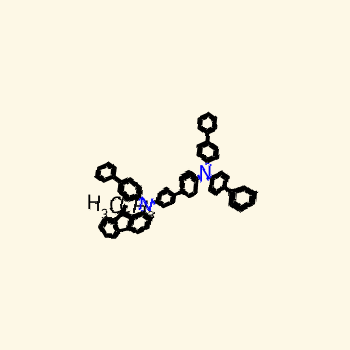 CC1(C)c2ccccc2-c2cccc(N(c3ccc(-c4ccccc4)cc3)c3ccc(-c4ccc(N(c5ccc(-c6ccccc6)cc5)c5ccc(-c6ccccc6)cc5)cc4)cc3)c21